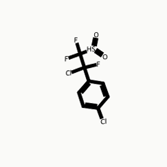 O=[SH](=O)C(F)(F)C(F)(Cl)c1ccc(Cl)cc1